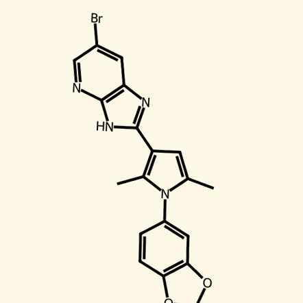 Cc1cc(-c2nc3cc(Br)cnc3[nH]2)c(C)n1-c1ccc2c(c1)OCO2